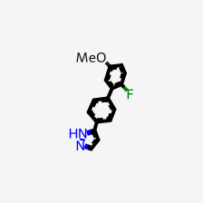 COc1ccc(F)c(-c2ccc(-c3ccn[nH]3)cc2)c1